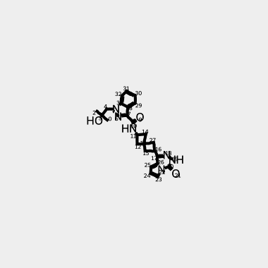 CC(C)(O)Cn1nc(C(=O)NC2CC3(C2)CC(c2n[nH]c(=O)n4cccc24)C3)c2ccccc21